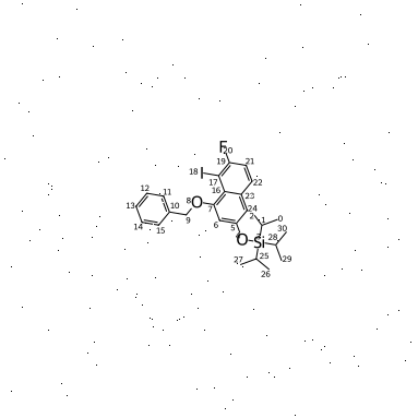 CC(C)[Si](Oc1cc(OCc2ccccc2)c2c(I)c(F)ccc2c1)(C(C)C)C(C)C